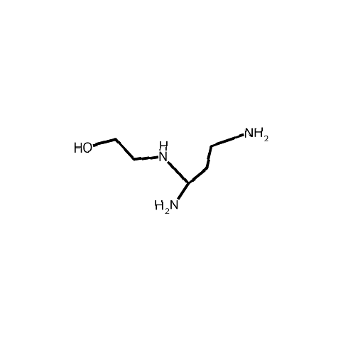 NCCC(N)NCCO